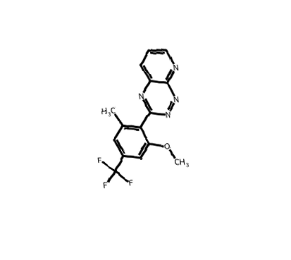 COc1cc(C(F)(F)F)cc(C)c1-c1nnc2ncccc2n1